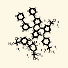 CC(C)(C)c1ccc(N2c3ccc(C(C)(C)C)cc3B3c4ccc(-c5ccccc5)cc4N(c4cccc(-c5ccccc5)c4)c4cc(N5c6ccc(C(C)(C)C)cc6C6(C)CC(C(C)(C)C)CCC56C)cc2c43)cc1